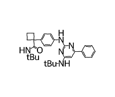 CC(C)(C)NC(=O)C1(c2ccc(Nc3nc(NC(C)(C)C)cc(-c4ccccc4)n3)cc2)CCC1